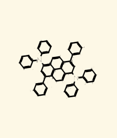 C1=C(c2ccccc2)c2ccc3c(N(c4ccccc4)c4ccccc4)cc(-c4ccccc4)c4c3c2C(=CC4)C1N(c1ccccc1)c1ccccc1